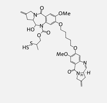 C=C1CC2C(O)N(C(=O)OCC(C)SS)c3cc(OCCCCCOc4cc5c(cc4OC)C(=O)N4CC(=C)C[C@@H]4C=N5)c(OC)cc3C(=O)N2C1